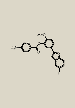 COc1ccc(-c2nc3cc(F)ccc3s2)cc1OC(=O)c1ccc([N+](=O)[O-])cc1